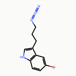 [N-]=[N+]=NCCCc1c[nH]c2ccc(Br)cc12